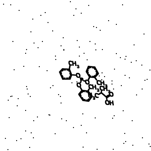 CC(C)C(=O)O.Cc1ccccc1OP(Oc1ccccc1C)Oc1ccccc1C